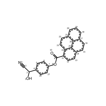 N#CC(O)c1ccc(OC(=O)c2ccc3ccc4cccc5ccc2c3c45)cc1